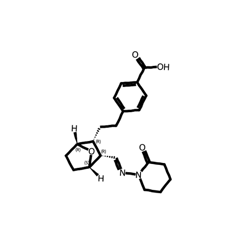 O=C(O)c1ccc(CC[C@@H]2[C@H](C=NN3CCCCC3=O)[C@@H]3CC[C@H]2O3)cc1